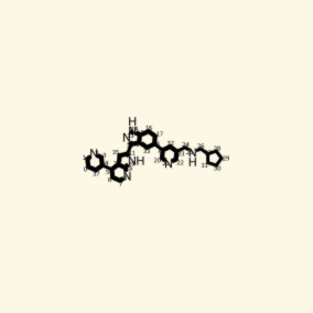 c1cncc(-c2ccnc3[nH]c(-c4n[nH]c5ccc(-c6cncc(CNCC7CCCC7)c6)cc45)cc23)c1